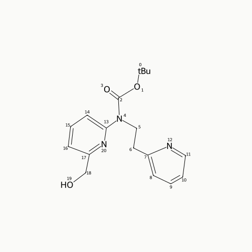 CC(C)(C)OC(=O)N(CCc1ccccn1)c1cccc(CO)n1